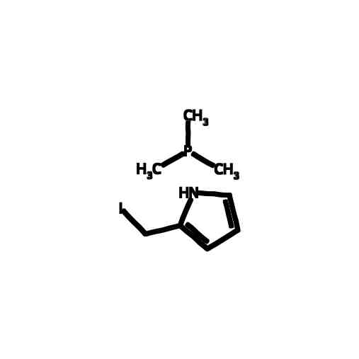 CP(C)C.ICc1ccc[nH]1